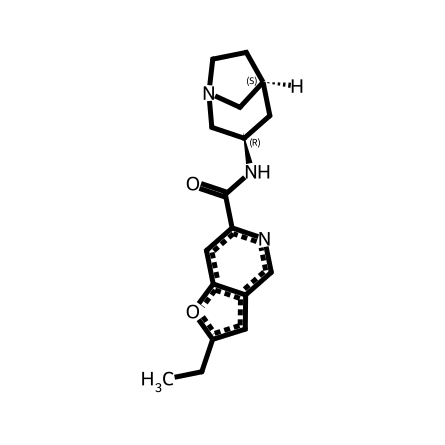 CCc1cc2cnc(C(=O)N[C@@H]3C[C@@H]4CCN(C4)C3)cc2o1